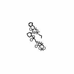 CCCCCCN(Cc1ccccc1)C(=O)N[C@H]1CCCC[C@@H]1OC(=O)CCNC(=O)C1OC(C)(C)OCC1(C)C